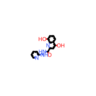 O=C(NNc1ccccn1)c1cc(O)c2cccc(O)c2n1